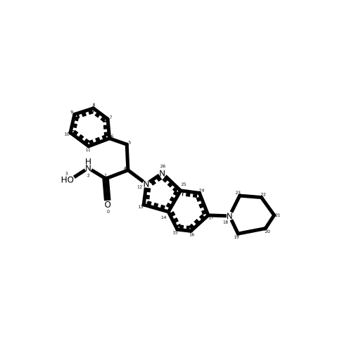 O=C(NO)C(Cc1ccccc1)n1cc2ccc(N3CCCCC3)cc2n1